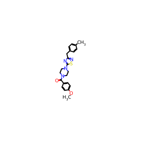 COc1ccc(C(=O)N2CCN(c3nc(Cc4ccc(C)cc4)ns3)CC2)cc1